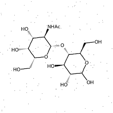 CC(=O)N[C@H]1[C@H](O[C@H]2[C@H](O)[C@@H](O)C(O)O[C@@H]2CO)O[C@H](CO)[C@H](O)[C@@H]1O